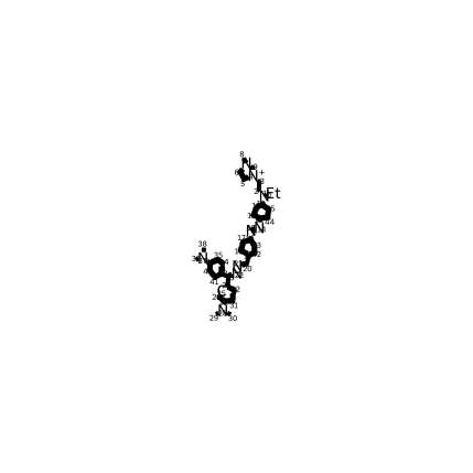 CCN(CC[n+]1ccn(C)c1)c1ccc(N=Nc2ccc(/C=N/N=C(c3ccc(N(C)C)cc3)c3ccc(N(C)C)cc3)cc2)cc1